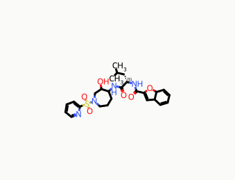 CC(C)C[C@H](NC(=O)C1=CC2C=CC=CC2O1)C(=O)NC1CCCN(S(=O)(=O)c2ccccn2)CC1O